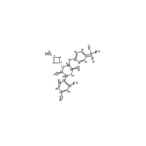 O=C1C([C@H]2C[C@@H](O)C2)N(Cc2ccc(C(F)(F)F)cc2)C(=O)CN1c1ncc(Cl)cc1F